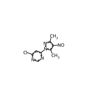 Cc1nn(-c2cc(Cl)ncn2)c(C)c1N=O